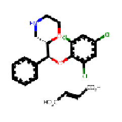 Clc1cc(Cl)c(O[C@@H](c2ccccc2)[C@@H]2CNCCO2)c(Cl)c1.O=C(O)C=CC(=O)O